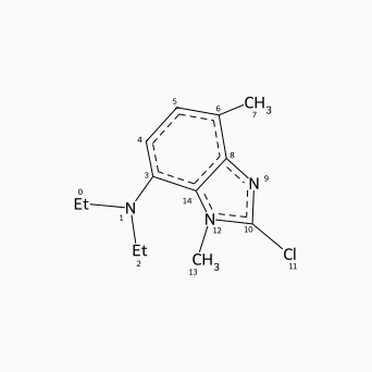 CCN(CC)c1ccc(C)c2nc(Cl)n(C)c12